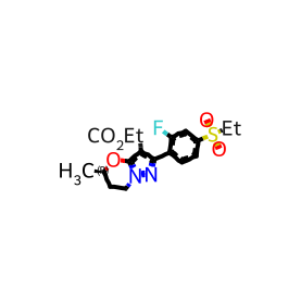 CCOC(=O)c1c(-c2ccc(S(=O)(=O)CC)cc2F)nn2c1O[C@H](C)CC2